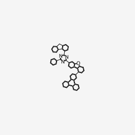 c1ccc(-c2nc(-c3ccc4c(c3)oc3cccc(-c5ccc6c7ccccc7c7ccccc7c6c5)c34)nc(-c3cccc4c3-c3ccccc3C4)n2)cc1